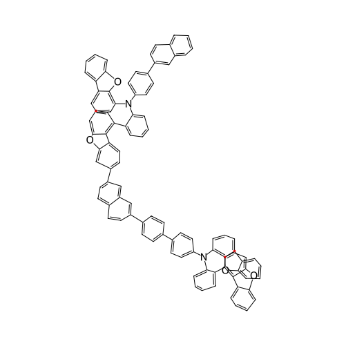 c1ccc(N(c2ccc(-c3ccc(-c4ccc5ccc(-c6ccc7c(c6)oc6cccc(-c8ccccc8N(c8ccc(-c9ccc%10ccccc%10c9)cc8)c8cccc9c8oc8ccccc89)c67)cc5c4)cc3)cc2)c2cccc3c2oc2ccccc23)c(-c2cccc3oc4ccccc4c23)c1